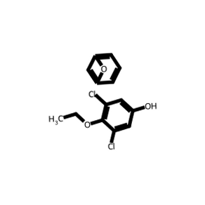 CCOc1c(Cl)cc(O)cc1Cl.c1cc2cc(c1)O2